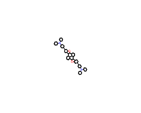 c1ccc(N(c2ccccc2)c2ccc(-c3ccc4c(c3)oc3c5cccc6c7c8ccc(-c9ccc(N(c%10ccccc%10)c%10ccccc%10)cc9)cc8oc7c7cccc(c43)c7c56)cc2)cc1